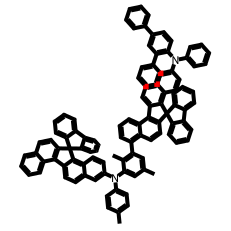 Cc1ccc(N(c2ccc3c4c(ccc3c2)-c2c(ccc3ccccc23)C42c3ccccc3-c3ccccc32)c2cc(C)cc(-c3cccc4c5c(ccc34)C3(c4ccccc4-c4ccccc43)c3c-5ccc4cc(N(c5ccccc5)c5ccc(-c6ccccc6)cc5-c5ccccc5)ccc34)c2C)cc1